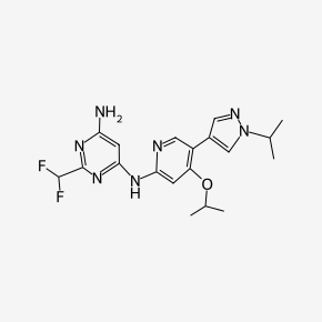 CC(C)Oc1cc(Nc2cc(N)nc(C(F)F)n2)ncc1-c1cnn(C(C)C)c1